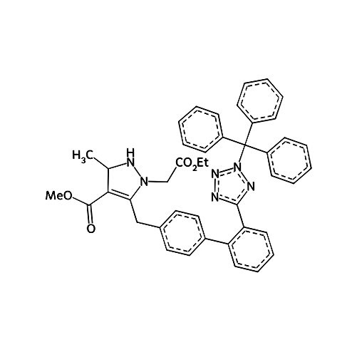 CCOC(=O)CN1NC(C)C(C(=O)OC)=C1Cc1ccc(-c2ccccc2-c2nnn(C(c3ccccc3)(c3ccccc3)c3ccccc3)n2)cc1